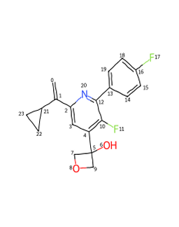 C=C(c1cc(C2(O)COC2)c(F)c(-c2ccc(F)cc2)n1)C1CC1